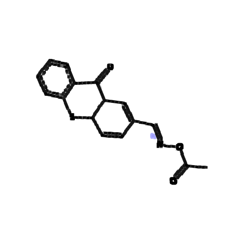 CC(=O)O/N=C/C1=CC2C(=O)c3ccccc3SC2C=C1